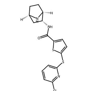 O=C(N[C@@H]1C[C@H]2CC[C@@H]1N2)c1ccc(Sc2cccc(Cl)n2)s1